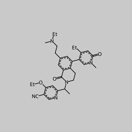 CCOc1cc(C(C)N2CCc3c(cc(CCN(C)CC)cc3-c3cn(C)c(=O)cc3CC)C2=O)ncc1C#N